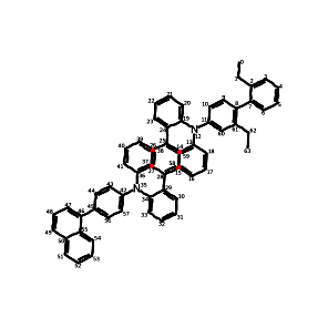 CCc1ccccc1-c1ccc(N(c2ccccc2)c2ccccc2-c2ccc(-c3ccccc3N(c3ccccc3)c3ccc(-c4cccc5ccccc45)cc3)cc2)cc1CC